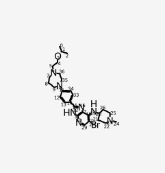 CC(C)OCCN1CCCN(c2ccc(-c3nc4c(NC5CCN(C)CC5)c(Br)cnc4[nH]3)cc2)CC1